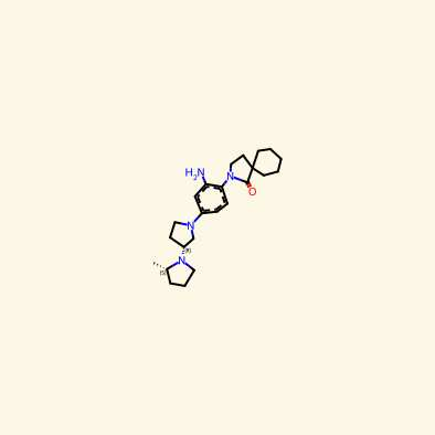 C[C@H]1CCCN1[C@@H]1CCN(c2ccc(N3CCC4(CCCCC4)C3=O)c(N)c2)C1